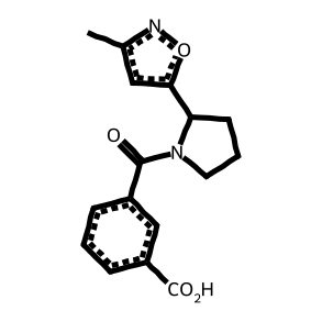 Cc1cc(C2CCCN2C(=O)c2cccc(C(=O)O)c2)on1